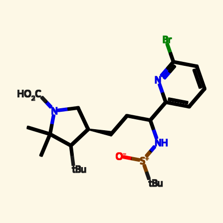 CC(C)(C)C1[C@H](CCC(N[S+]([O-])C(C)(C)C)c2cccc(Br)n2)CN(C(=O)O)C1(C)C